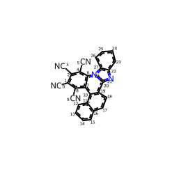 N#Cc1c(C#N)c(C#N)c2c(c1C#N)c1c3ccccc3ccc1c1nc3ccccc3n12